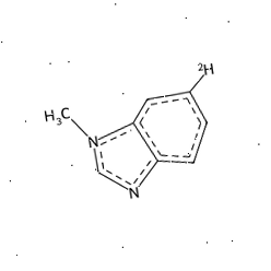 [2H]c1ccc2ncn(C)c2c1